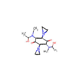 CC(O)N(C)C1=C(N2CC2)C(=O)C(N(C)C(C)O)=C(N2CC2)C1=O